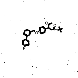 CC(=O)C(CC(=O)OC(C)(C)C)c1ccc(OCc2cccc(-c3ccc(F)cc3)c2)cc1